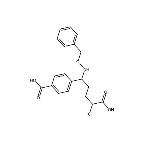 CC(CCC(NOCc1ccccc1)c1ccc(C(=O)O)cc1)C(=O)O